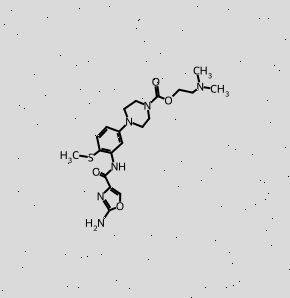 CSc1ccc(N2CCN(C(=O)OCCN(C)C)CC2)cc1NC(=O)c1coc(N)n1